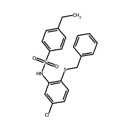 CCc1ccc(S(=O)(=O)Nc2cc(Cl)ccc2SCc2ccccc2)cc1